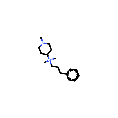 CN1CCC([N+](C)(C)CCCc2ccccc2)CC1